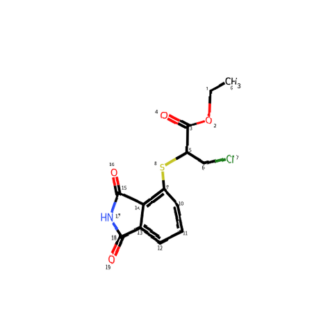 CCOC(=O)C(CCl)Sc1cccc2c1C(=O)NC2=O